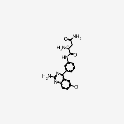 NC(=O)C[C@H](N)C(=O)Nc1cccc(-c2nc(N)nc3ccc(Cl)cc23)c1